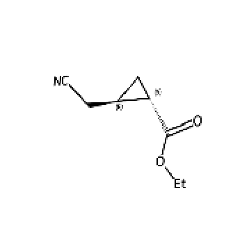 CCOC(=O)[C@H]1C[C@@H]1CC#N